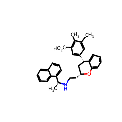 Cc1cc([C@H]2C[C@@H](CCN[C@H](C)c3cccc4ccccc34)Oc3ccccc32)cc(C(=O)O)c1C